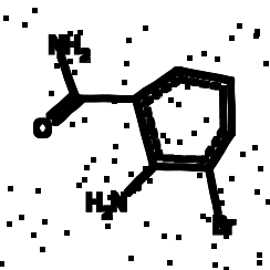 NC(=O)c1cccc(Br)c1N